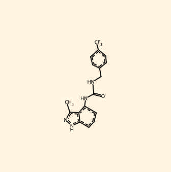 Cc1n[nH]c2cccc(NC(=O)NCc3ccc(C(F)(F)F)cc3)c12